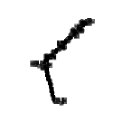 CCCCNC(=O)CNC(=O)CNC(=O)COCCOCCNC(=O)COCCOCCNC(=O)CC[C@H](NC(=O)CCCCCCCCCCCCCCCCC(=O)O)C(=O)O